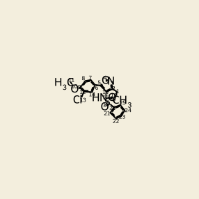 CCc1noc(-c2ccc(OC)c(Cl)c2)c1NS(=O)(=O)c1ccccc1